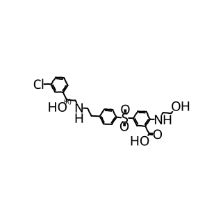 O=C(O)c1cc(S(=O)(=O)c2ccc(CCNC[C@H](O)c3cccc(Cl)c3)cc2)ccc1NCCO